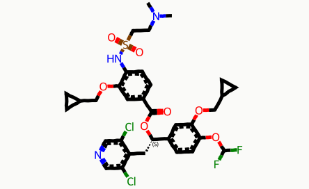 CN(C)CCS(=O)(=O)Nc1ccc(C(=O)O[C@@H](Cc2c(Cl)cncc2Cl)c2ccc(OC(F)F)c(OCC3CC3)c2)cc1OCC1CC1